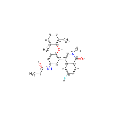 C=CC(=O)Nc1ccc(Oc2c(C)cccc2C)c(-c2cn(C)c(=O)c3ccc(F)cc23)c1